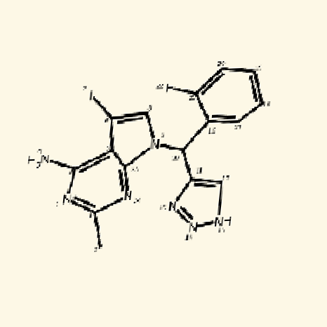 Cc1nc(N)c2c(I)cn(C(c3c[nH]nn3)c3ccccc3F)c2n1